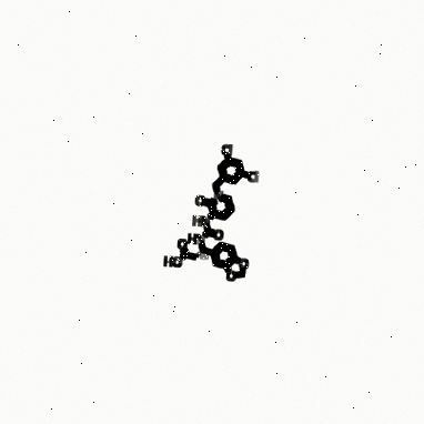 O=C(O)C[C@H](NC(=O)Nc1cccn(Cc2cc(Cl)cc(Cl)c2)c1=O)c1ccc2c(c1)OCO2